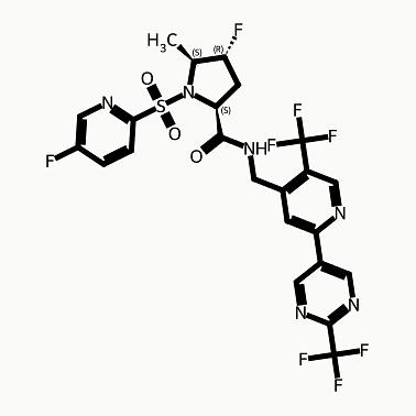 C[C@H]1[C@H](F)C[C@@H](C(=O)NCc2cc(-c3cnc(C(F)(F)F)nc3)ncc2C(F)(F)F)N1S(=O)(=O)c1ccc(F)cn1